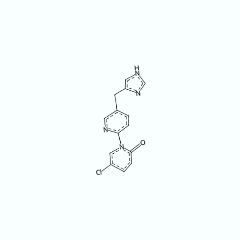 O=c1ccc(Cl)cn1-c1ccc(Cc2c[nH]cn2)cn1